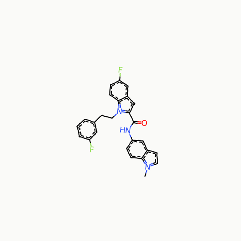 Cn1ccc2cc(NC(=O)c3cc4cc(F)ccc4n3CCc3cccc(F)c3)ccc21